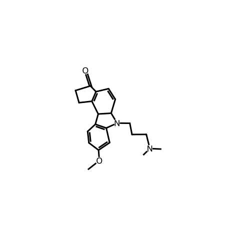 COc1ccc2c(c1)N(CCCN(C)C)C1C=CC3=C(CCC3=O)C21